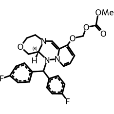 COC(=O)OCOC1=CC=CN2C1=CN1CCOC[C@H]1N2C(c1ccc(F)cc1)c1ccc(F)cc1